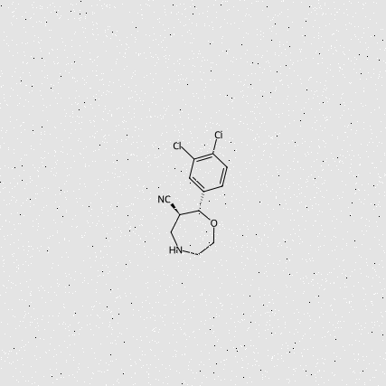 N#C[C@@H]1CNCCO[C@H]1c1ccc(Cl)c(Cl)c1